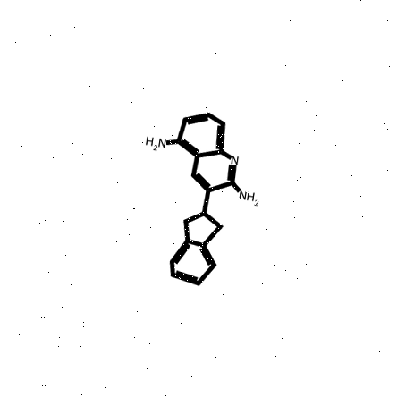 Nc1nc2cccc(N)c2cc1C1Cc2ccccc2C1